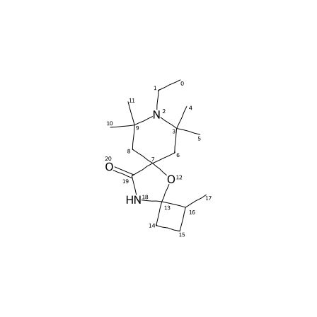 CCN1C(C)(C)CC2(CC1(C)C)OC1(CCC1C)NC2=O